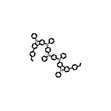 C=Cc1ccc(-c2ccc3c(c2)c2cc(N(c4ccccc4)c4ccc(N(c5ccccc5)c5ccc(N(c6ccccc6)c6ccc7c(c6)c6cc(-c8ccc(C=C)cc8)ccc6n7-c6ccccc6)cc5)cc4)ccc2n3-c2ccccc2)cc1